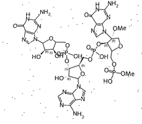 CO[C@]1(n2cnc3c(=O)[nH]c(N)nc32)COC(COP(=O)(O)OC)[C@H]1OP(=O)(O)OC[C@H]1OC(n2cnc3c(N)ncnc32)[C@H](O)[C@@H]1OP(=O)(O)OCC1OC(n2cnc3c(=O)[nH]c(N)nc32)[C@H](O)[C@@H]1O